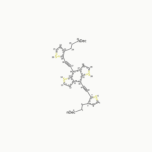 CCCCCCCCCCCCc1ccsc1C#Cc1c2ccsc2c(C#Cc2sccc2CCCCCCCCCCCC)c2ccsc12